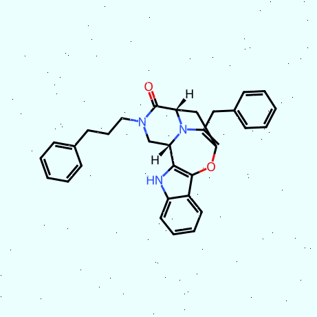 O=C1[C@@H]2CC3=C(Cc4ccccc4)N2[C@@H](CN1CCCc1ccccc1)c1[nH]c2ccccc2c1O3